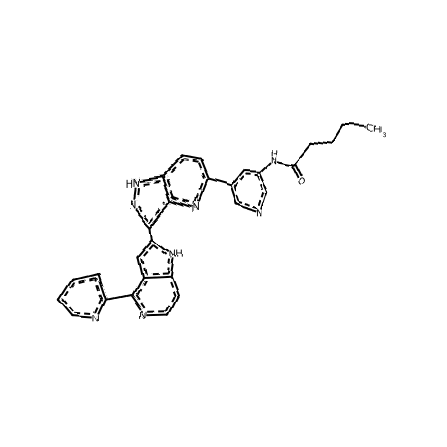 CCCCC(=O)Nc1cncc(-c2ccc3[nH]nc(-c4cc5c(-c6ccccn6)nccc5[nH]4)c3n2)c1